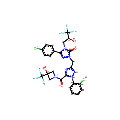 O=C(c1nc(Cn2nc(-c3ccc(Cl)cc3)n(CC(O)C(F)(F)F)c2=O)nn1-c1ccccc1Cl)N1CC(O)(C(F)(F)F)C1